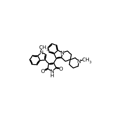 CN1CCCC2(CCn3c(c(C4=C(c5cn(C)c6ccccc56)C(=O)NC4=O)c4ccccc43)C2)C1